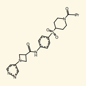 CC(C)C(=O)N1CCC(S(=O)(=O)c2ccc(NC(=O)C3CN(c4ccnnc4)C3)cc2)CC1